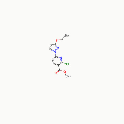 CC(C)(C)COc1ccn(-c2ccc(C(=O)OC(C)(C)C)c(Cl)n2)n1